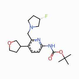 CC(C)(C)OC(=O)Nc1ccc(C2CCOC2)c(CN2CC[C@H](F)C2)n1